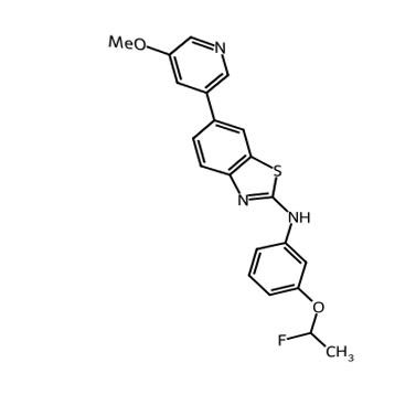 COc1cncc(-c2ccc3nc(Nc4cccc(OC(C)F)c4)sc3c2)c1